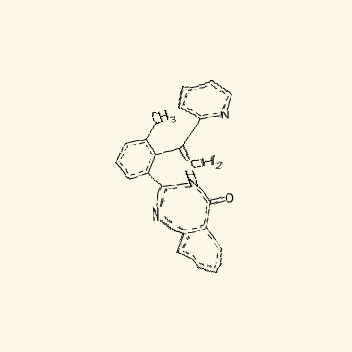 C=C(c1ccccn1)c1c(C)cccc1-c1nc2ccccc2c(=O)[nH]1